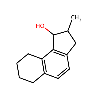 CC1Cc2ccc3c(c2C1O)CCCC3